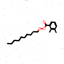 [CH2]CCCCCCCCCOOC(=O)c1cccc(C)c1C